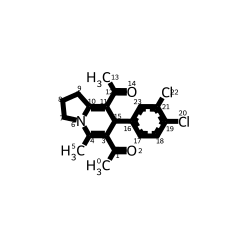 CC(=O)C1=C(C)N2CCCC2=C(C(C)=O)C1c1ccc(Cl)c(Cl)c1